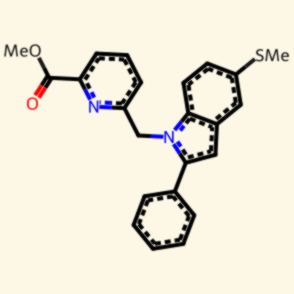 COC(=O)c1cccc(Cn2c(-c3ccccc3)cc3cc(SC)ccc32)n1